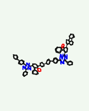 c1ccc(-c2ccc(-c3nc(-c4ccccc4)nc(-c4ccc(-c5ccc(-c6ccc(-c7ccc(-c8nc(-c9ccccc9)nc(-c9ccc(-c%10ccc%11c%12c(cccc%10%12)-c%10ccccc%10-%11)c%10oc%11ccccc%11c9%10)n8)cc7)cc6)cc5)c5oc6ccccc6c45)n3)cc2)cc1